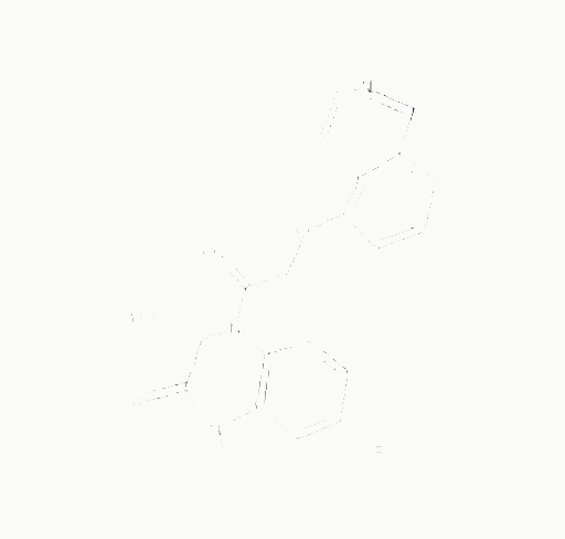 C[C@H]1C(=O)Nc2cc(F)ccc2N1C(=O)COc1cccc2cnccc12